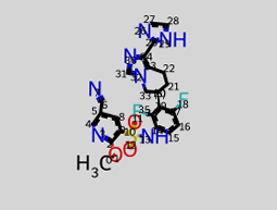 COc1ncc(C#N)cc1S(=O)(=O)Nc1ccc(F)c([C@@H]2CCc3c(-c4ncc[nH]4)ncn3C2)c1F